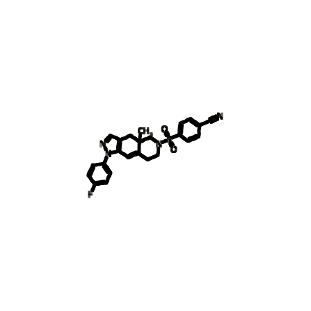 CC12Cc3cnn(-c4ccc(F)cc4)c3C=C1CCN(S(=O)(=O)c1ccc(C#N)cc1)C2